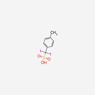 Cc1ccc(C(I)(I)S(=O)(=O)O)cc1